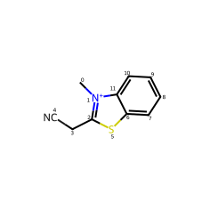 C[n+]1c(CC#N)sc2ccccc21